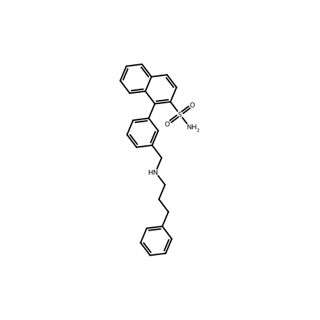 NS(=O)(=O)c1ccc2ccccc2c1-c1cccc(CNCCCc2ccccc2)c1